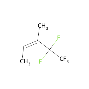 C/C=C(/C)C(F)(F)C(F)(F)F